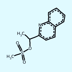 CC(OS(C)(=O)=O)c1ccc2ccccc2n1